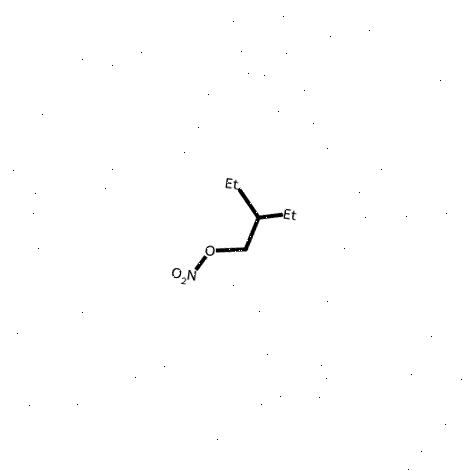 CCC(CC)CO[N+](=O)[O-]